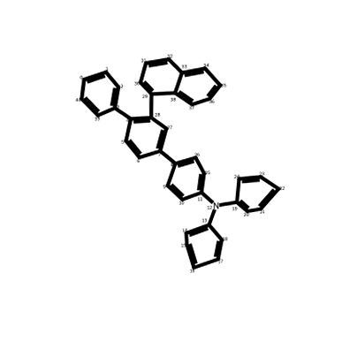 c1ccc(-c2ccc(-c3ccc(N(c4ccccc4)c4ccccc4)cc3)cc2-c2cccc3ccccc23)cc1